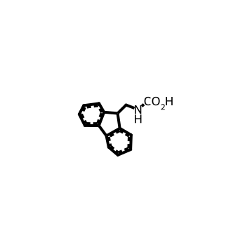 O=C(O)NCC1c2ccccc2-c2ccccc21